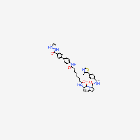 CCCNNC(=O)c1ccc(-c2ccc(NC(=O)CCCCCCC(=O)NC(C(=O)N3CCC[C@@H]3C(=O)N[C@@H](C)c3ccc(-c4scnc4C)cc3)C(C)(C)C)cc2)cc1